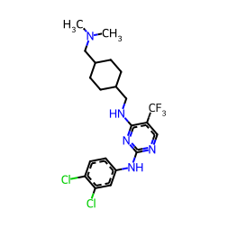 CN(C)CC1CCC(CNc2nc(Nc3ccc(Cl)c(Cl)c3)ncc2C(F)(F)F)CC1